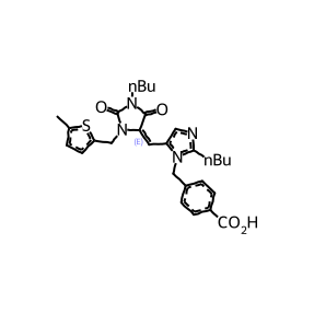 CCCCc1ncc(/C=C2\C(=O)N(CCCC)C(=O)N2Cc2ccc(C)s2)n1Cc1ccc(C(=O)O)cc1